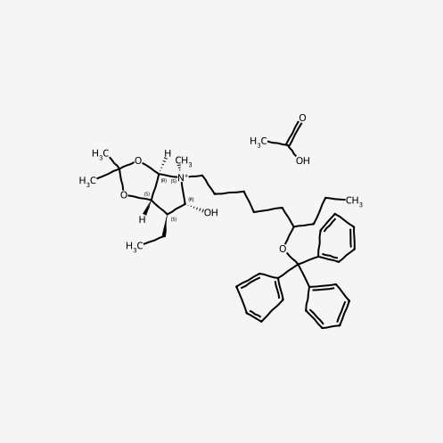 CC(=O)O.CCCC(CCCCC[N@@+]1(C)[C@H](O)[C@@H](CC)[C@@H]2OC(C)(C)O[C@H]21)OC(c1ccccc1)(c1ccccc1)c1ccccc1